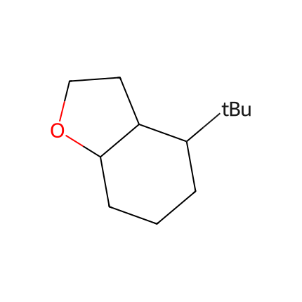 CC(C)(C)C1CCCC2OCCC21